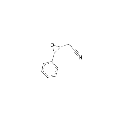 N#CCC1OC1c1ccccc1